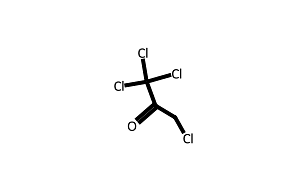 O=C(CCl)C(Cl)(Cl)Cl